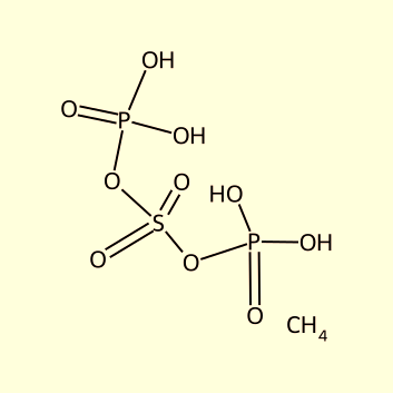 C.O=P(O)(O)OS(=O)(=O)OP(=O)(O)O